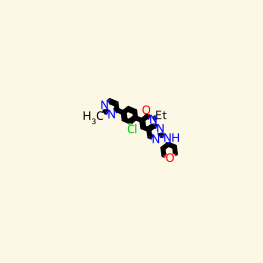 CCn1c(=O)c(-c2ccc(-c3ccnc(C)n3)cc2Cl)cc2cnc(NC3CCOCC3)nc21